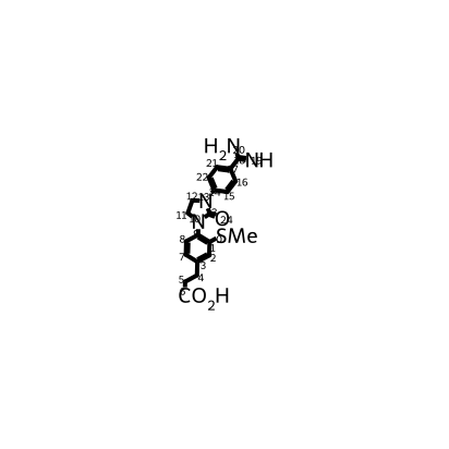 CSc1cc(CCC(=O)O)ccc1N1CCN(c2ccc(C(=N)N)cc2)C1=O